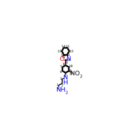 NCCCNc1ccc(-c2nc3ccccc3o2)cc1[N+](=O)[O-]